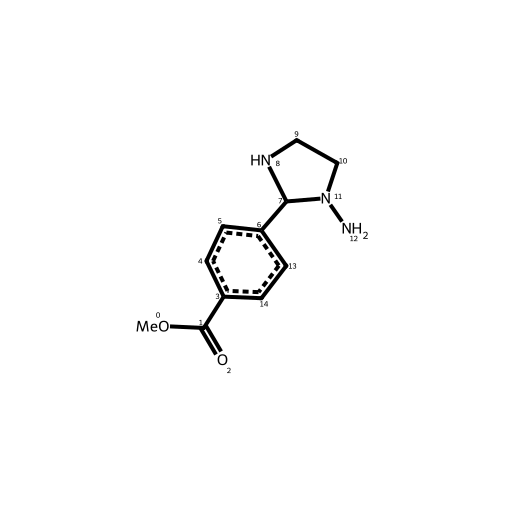 COC(=O)c1ccc(C2NCCN2N)cc1